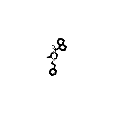 CC1CN(C(=O)c2cccc3ccccc23)CCN1CCc1ccccc1